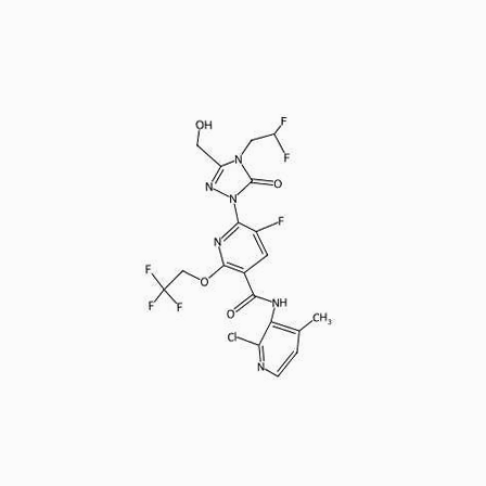 Cc1ccnc(Cl)c1NC(=O)c1cc(F)c(-n2nc(CO)n(CC(F)F)c2=O)nc1OCC(F)(F)F